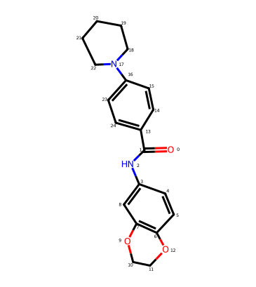 O=C(Nc1ccc2c(c1)OCCO2)c1ccc(N2CCCCC2)cc1